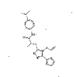 C=CCn1c(SC(C)C(=O)Nc2ccc(C(C)C)cc2)nnc1-c1cccs1